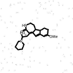 COC1=CC2=CC3=C(CC(C)N4CCCCC4)C(=O)NCCC3C2CC1